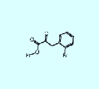 CC(C)OC(=O)C(=O)Cc1ccccc1Br